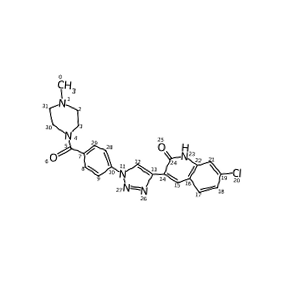 CN1CCN(C(=O)c2ccc(-n3cc(-c4cc5ccc(Cl)cc5[nH]c4=O)nn3)cc2)CC1